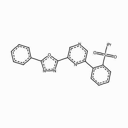 CC(C)S(=O)(=O)c1ccccc1-c1cncc(-c2nnc(-c3ccccc3)o2)n1